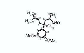 COc1cc(OC)cc(C(C)(CC=C(C)C)CC(C)C=O)c1